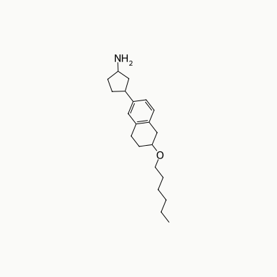 CCCCCCOC1CCc2cc(C3CCC(N)C3)ccc2C1